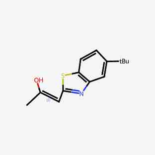 C/C(O)=C/c1nc2cc(C(C)(C)C)ccc2s1